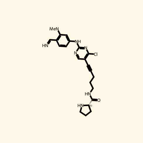 CNc1cc(Nc2ncc(C#CCCCNC(=O)[C@@H]3CCCN3)c(Cl)n2)ccc1C=N